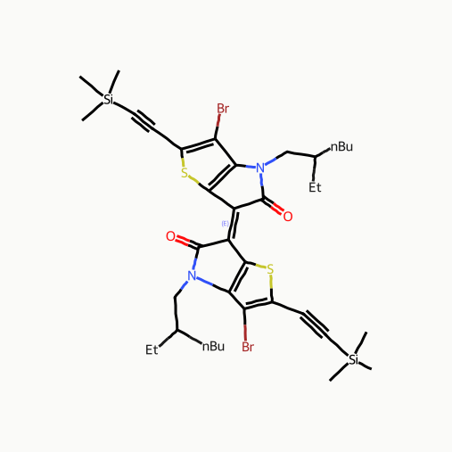 CCCCC(CC)CN1C(=O)/C(=C2/C(=O)N(CC(CC)CCCC)c3c2sc(C#C[Si](C)(C)C)c3Br)c2sc(C#C[Si](C)(C)C)c(Br)c21